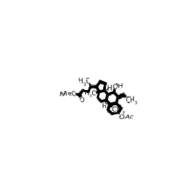 C/C=C1/C(O)C2[C@H](CCC3(C)C([C@H](C)CCC(=O)OC)CC[C@@H]23)C2(C)CC[C@@H](OC(C)=O)CC12